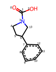 O=C(O)N1CCC(c2ccccc2)C1